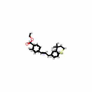 CCOC(=O)c1ccc(/C=C/Cc2ccc3c(c2)C(C)(C)CCS3)cc1C